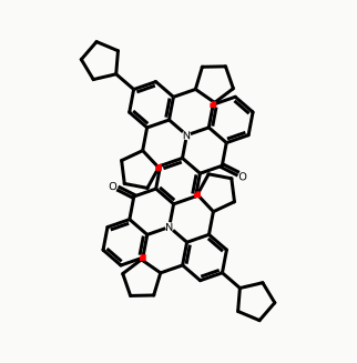 O=c1c2ccccc2n(-c2c(C3CCCC3)cc(C3CCCC3)cc2C2CCCC2)c2cc3c(=O)c4ccccc4n(-c4c(C5CCCC5)cc(C5CCCC5)cc4C4CCCC4)c3cc12